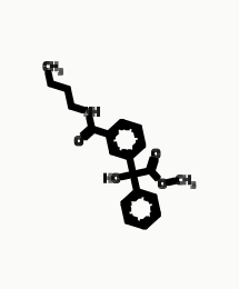 CCCCNC(=O)c1cccc(C(O)(C(=O)OC)c2ccccc2)c1